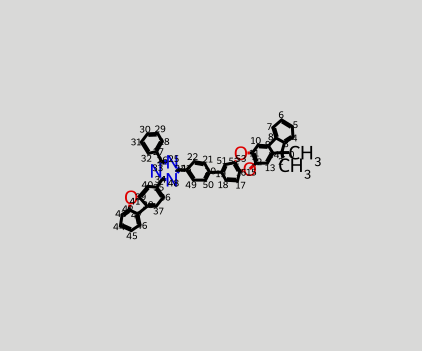 CC1(C)c2ccccc2-c2cc3c(cc21)Oc1ccc(-c2ccc(-c4nc(-c5ccccc5)nc(-c5ccc6c(c5)oc5ccccc56)n4)cc2)cc1O3